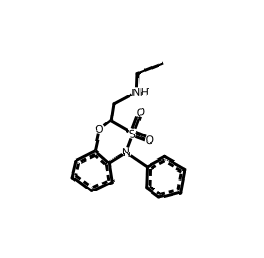 CCNCC1Oc2ccccc2N(c2ccccc2)S1(=O)=O